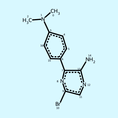 CN(C)c1ccc(-c2nc(Br)cnc2N)cc1